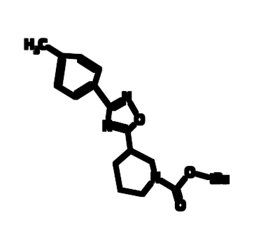 Cc1ccc(-c2noc(C3CCCN(C(=O)OC(C)(C)C)C3)n2)cc1